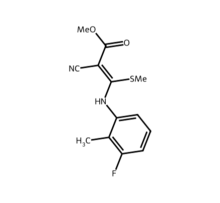 COC(=O)/C(C#N)=C(/Nc1cccc(F)c1C)SC